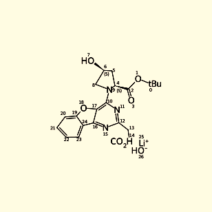 CC(C)(C)OC(=O)[C@@H]1C[C@H](O)CN1c1nc(CC(=O)O)nc2c1oc1ccccc12.[Li+].[OH-]